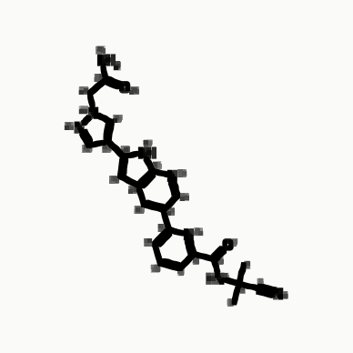 CC(C)(C#N)NC(=O)c1cccc(-c2cnc3[nH]c(-c4cnn(CC(N)=O)c4)cc3c2)n1